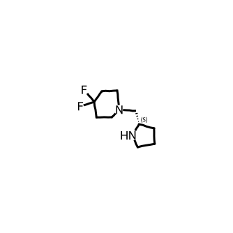 FC1(F)CCN(C[C@@H]2CCCN2)CC1